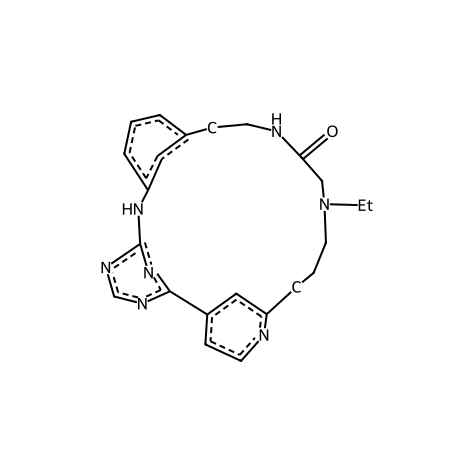 CCN1CCCc2cc(ccn2)-c2ncnc(n2)Nc2cccc(c2)CCNC(=O)C1